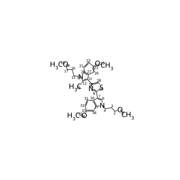 COCCCn1cc(-c2nc(-c3c(C)n(CCCOC)c4ccc(OC)cc34)cs2)c2ccc(OC)cc21